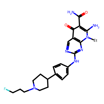 CCn1c(N)c(C(N)=O)c(=O)c2cnc(Nc3ccc(C4CCN(CCCF)CC4)cc3)nc21